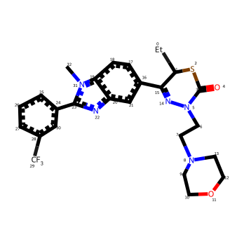 CCC1SC(=O)N(CCN2CCOCC2)N=C1c1ccc2c(c1)nc(-c1cccc(C(F)(F)F)c1)n2C